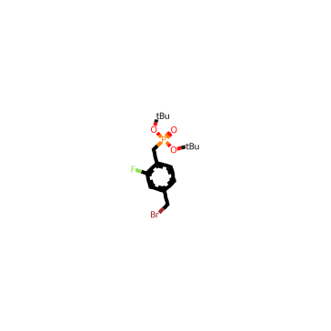 CC(C)(C)OP(=O)(Cc1ccc(CBr)cc1F)OC(C)(C)C